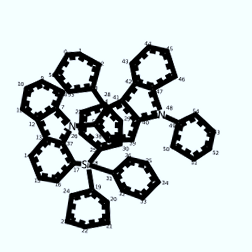 c1ccc(-c2c(-n3c4ccccc4c4cccc([Si](c5ccccc5)(c5ccccc5)c5ccccc5)c43)ccc3c2c2ccccc2n3-c2ccccc2)cc1